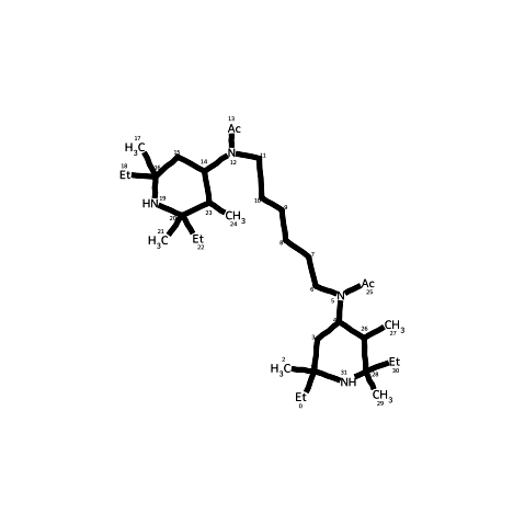 CCC1(C)CC(N(CCCCCCN(C(C)=O)C2CC(C)(CC)NC(C)(CC)C2C)C(C)=O)C(C)C(C)(CC)N1